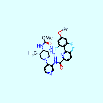 COC(=O)N[C@@H]1[C@H](N)CN(c2ccncc2NC(=O)c2ccc(F)c(-c3c(F)cc(OC(C)C)cc3F)n2)C[C@@H]1C